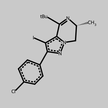 C[C@@H]1Cn2nc(-c3ccc(Cl)cc3)c(I)c2C(C(C)(C)C)=N1